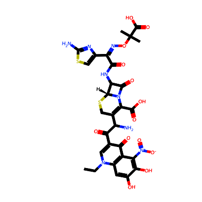 CCn1cc(C(=O)C(N)C2=C(C(=O)O)N3C(=O)C(NC(=O)/C(=N\OC(C)(C)C(=O)O)c4csc(N)n4)[C@H]3SC2)c(=O)c2c([N+](=O)[O-])c(O)c(O)cc21